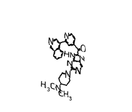 CN(C)C1CCN(c2ncc3nc(C(=O)c4ccnc(-c5cncc6ccccc56)c4)[nH]c3n2)CC1